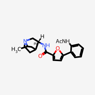 CC(=O)Nc1ccccc1-c1ccc(C(=O)N[C@H]2CN3CCC2CC3C)o1